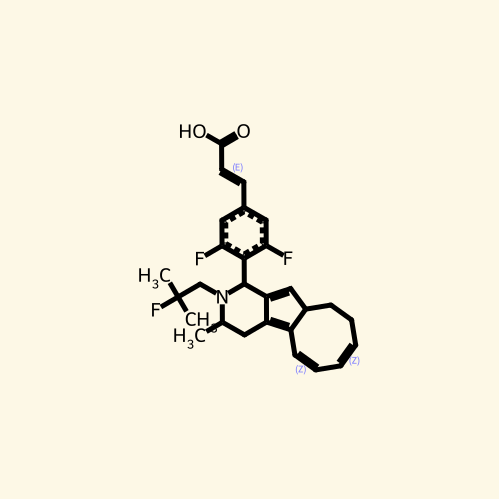 CC1CC2=C3/C=C\C=C/CCC3C=C2C(c2c(F)cc(/C=C/C(=O)O)cc2F)N1CC(C)(C)F